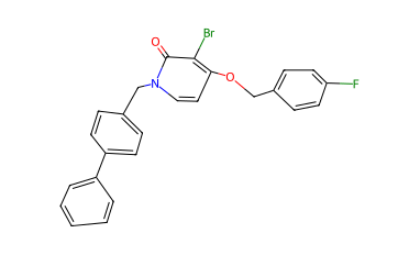 O=c1c(Br)c(OCc2ccc(F)cc2)ccn1Cc1ccc(-c2ccccc2)cc1